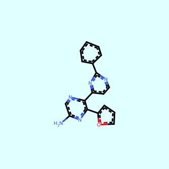 Nc1cnc(-c2ccnc(-c3ccccc3)n2)c(-c2ccco2)n1